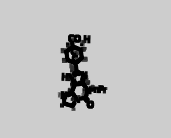 CCCN1C(=O)N2CCN=C2c2[nH]c(C34CCC(C(=O)O)(CC3)CC4)nc21